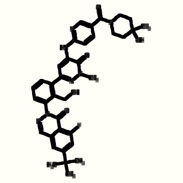 Cn1nc(-c2cccc(-n3ncc4cc(C(C)(C)C)cc(F)c4c3=O)c2CO)cc(Nc2ccc(C(=O)N3CCC(C)(O)CC3)cn2)c1=O